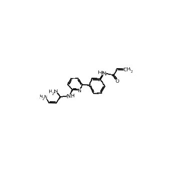 C=CC(=O)Nc1cccc(-c2cccc(NC(N)/C=C\N)n2)c1